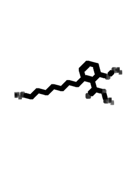 CCCCCCCCc1cccc(OC)c1C(=O)OC